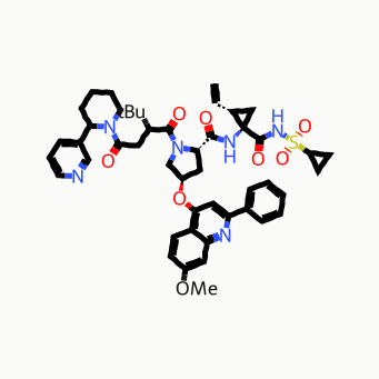 C=C[C@@H]1C[C@]1(NC(=O)[C@@H]1C[C@@H](Oc2cc(-c3ccccc3)nc3cc(OC)ccc23)CN1C(=O)C(CC(=O)N1CCCCC1c1cccnc1)C(C)(C)C)C(=O)NS(=O)(=O)C1CC1